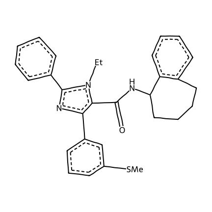 CCn1c(-c2ccccc2)nc(-c2cccc(SC)c2)c1C(=O)NC1CCCCc2ccccc21